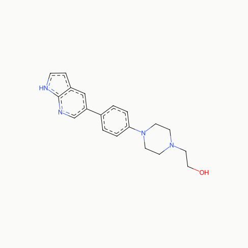 OCCN1CCN(c2ccc(-c3cnc4[nH]ccc4c3)cc2)CC1